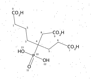 O=C(O)CCCC(CCC(=O)O)(CC(=O)O)P(=O)(O)O